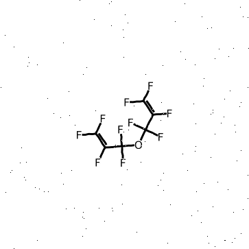 FC(F)=C(F)C(F)(F)OC(F)(F)C(F)=C(F)F